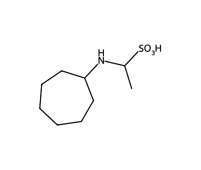 CC(NC1CCCCCC1)S(=O)(=O)O